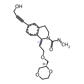 C=NC(=O)N1CCc2cc(C#CCO)ccc2/C1=C/COC[C@@H]1COCCO1